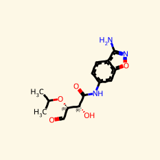 CC(C)O[C@@H](C=O)[C@@H](O)C(=O)Nc1ccc2c(N)noc2c1